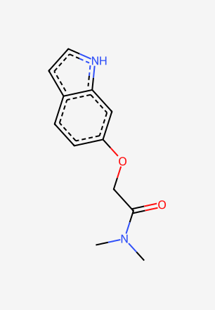 CN(C)C(=O)COc1ccc2cc[nH]c2c1